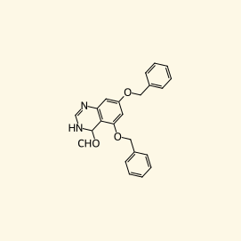 O=CC1NC=Nc2cc(OCc3ccccc3)cc(OCc3ccccc3)c21